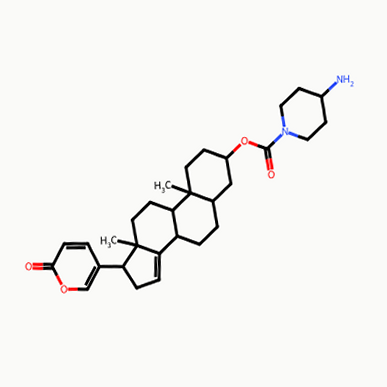 CC12CCC3C(CCC4CC(OC(=O)N5CCC(N)CC5)CCC43C)C1=CCC2c1ccc(=O)oc1